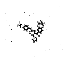 O=C(Cc1ccc(OC(F)(F)F)cc1)N[C@H](CN1CCCC1)[C@H](O)c1ccc2c(c1)OC(F)(F)C(F)(F)O2